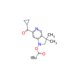 CC(C)(C)C(=O)ON1CC(C)(C)c2cnc(C(=O)C3CC3)cc21